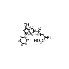 CCC(CNC(=O)c1cc2c(C)nn(C3CCCCC3)c2s1)C(=O)O